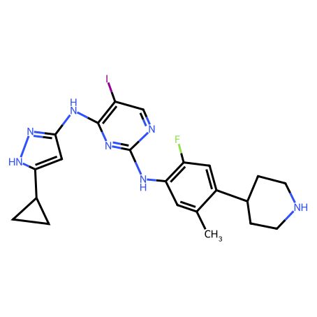 Cc1cc(Nc2ncc(I)c(Nc3cc(C4CC4)[nH]n3)n2)c(F)cc1C1CCNCC1